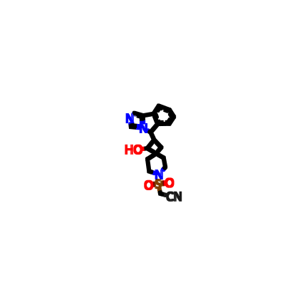 N#CCS(=O)(=O)N1CCC2(CC1)CC(C1c3ccccc3-c3cncn31)C2O